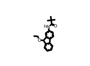 CCOC1c2ccccc2-c2ccc(NC(=O)C(C)(C)C)cc21